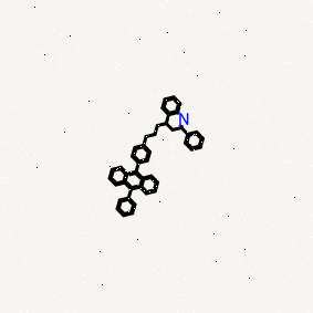 c1ccc(C2=Nc3ccccc3C(CCCc3ccc(-c4c5ccccc5c(-c5ccccc5)c5ccccc45)cc3)C2)cc1